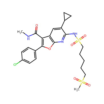 CNC(=O)c1c(-c2ccc(Cl)cc2)oc2nc(NS(=O)(=O)CCCCCS(C)(=O)=O)c(C3CC3)cc12